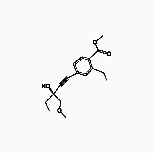 CCc1cc(C#C[C@@](O)(CC)COC)ccc1C(=O)OC